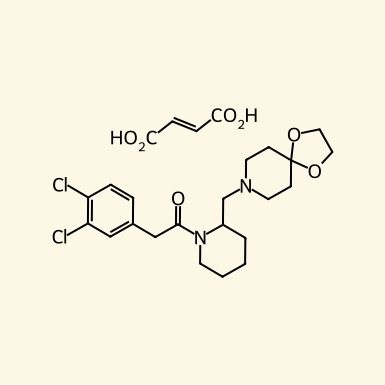 O=C(Cc1ccc(Cl)c(Cl)c1)N1CCCCC1CN1CCC2(CC1)OCCO2.O=C(O)C=CC(=O)O